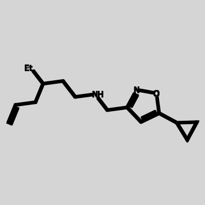 C=CCC(CC)CCNCc1cc(C2CC2)on1